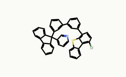 Clc1ccc(-c2cccc(-c3cccc(C4(c5cccnc5)c5ccccc5-c5ccccc54)c3)c2)c2sc3ccccc3c12